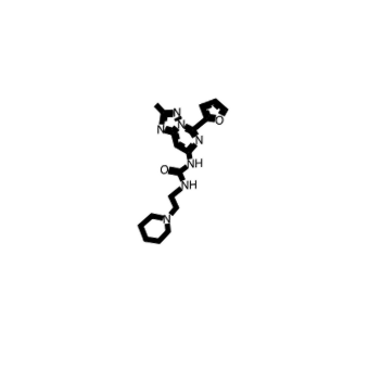 Cc1nc2cc(NC(=O)NCCN3CCCCC3)nc(-c3ccco3)n2n1